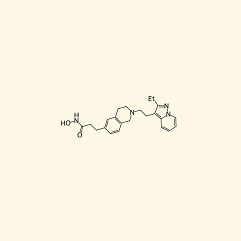 CCc1nn2ccccc2c1CCN1CCc2cc(CCC(=O)NO)ccc2C1